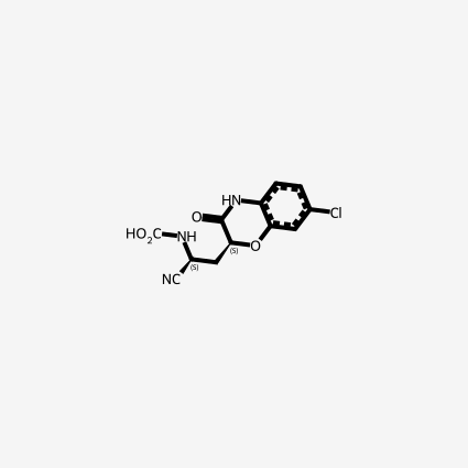 N#C[C@H](C[C@@H]1Oc2cc(Cl)ccc2NC1=O)NC(=O)O